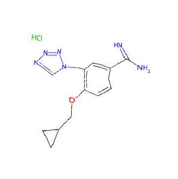 Cl.N=C(N)c1ccc(OCC2CC2)c(-n2cnnn2)c1